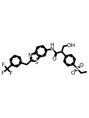 CCS(=O)(=O)c1ccc(C(CO)C(=O)Nc2ccc3nc(Cc4cccc(C(F)(F)F)c4)sc3c2)cc1